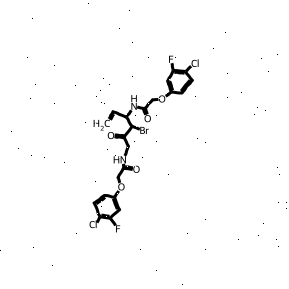 C=CC(NC(=O)COc1ccc(Cl)c(F)c1)C(Br)C(=O)CNC(=O)COc1ccc(Cl)c(F)c1